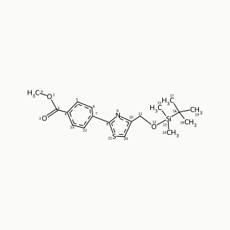 COC(=O)c1ccc(-c2nc(CO[Si](C)(C)C(C)(C)C)cs2)cc1